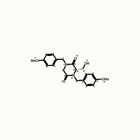 COc1ccc(CN2CC(=O)N(Cc3ccc(OC)cc3)[C@@H](CO)C2=O)cc1